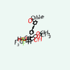 COC(=O)c1cccc(C#Cc2ccc([C@H]3C[C@@]4(C)[C@@H](CC[C@@]4(O)C(F)(F)C(F)(F)F)[C@@H]4CC[C@@]5(O)CC6(CCC5=C43)OCC(C)(C)CO6)cc2)c1